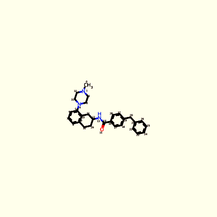 CN1CCN(c2cccc3c2CC(NC(=O)c2ccc(Cc4ccccc4)cc2)CC3)CC1